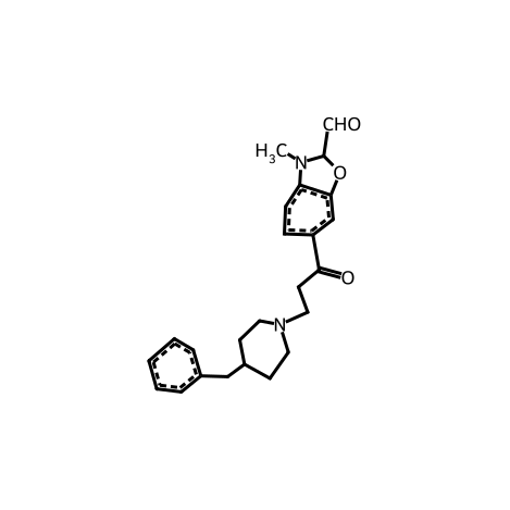 CN1c2ccc(C(=O)CCN3CCC(Cc4ccccc4)CC3)cc2OC1C=O